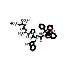 CN(CC(=O)N[C@@H](CC(=O)O)C(=O)O)C(=O)[C@@H]1CCCN1C(=O)[C@H](Cc1c[nH]c2ccccc12)NC(=O)[C@H](Cc1c[nH]c2ccccc12)NC(c1ccccc1)(c1ccccc1)c1ccccc1